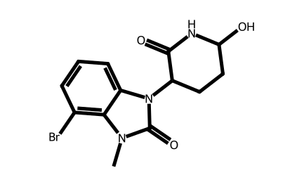 Cn1c(=O)n(C2CCC(O)NC2=O)c2cccc(Br)c21